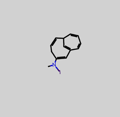 CN(I)/C1=C/C2=CC(C=CC=C2)/C=C\C1